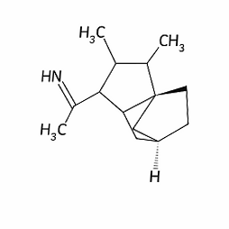 CC(=N)C1C(C)C(C)[C@@]23CC[C@@H](CC12)C3